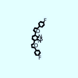 Fc1ccc(-c2ccc(-c3ccc(-c4ccc(-c5ccc(F)cc5)o4)c4nsnc34)o2)cc1